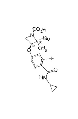 CC(C)(C)[C@]1(C)[C@@H](Oc2cnc(C(=O)NC3CC3)c(F)c2)CN1C(=O)O